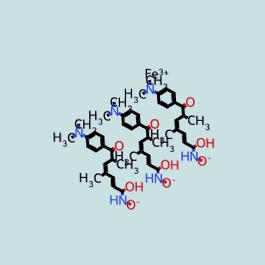 CC(C=CC(O)N[O-])=CC(C)C(=O)c1ccc(N(C)C)cc1.CC(C=CC(O)N[O-])=CC(C)C(=O)c1ccc(N(C)C)cc1.CC(C=CC(O)N[O-])=CC(C)C(=O)c1ccc(N(C)C)cc1.[Fe+3]